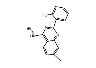 Cc1ccc2c(NC(C)C)nc(-c3ccccc3O)nc2c1